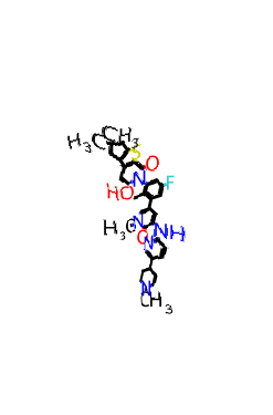 CN1CCC(c2ccc(Nc3cc(-c4cc(F)cc(N5CCc6c(sc7c6CC(C)(C)C7)C5=O)c4CO)cn(C)c3=O)nc2)CC1